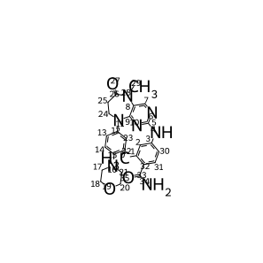 Cc1cc(Nc2ncc3c(n2)N(c2ccc(N4CCOCC4)cc2)CCC(=O)N3C)ccc1C(N)=O